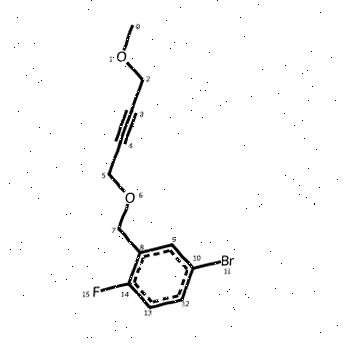 COCC#CCOCc1cc(Br)ccc1F